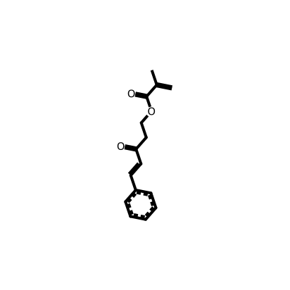 C=C(C)C(=O)OCCC(=O)C=Cc1ccccc1